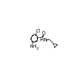 Nc1ccc(Cl)c(C(=O)NCC2CC2)c1